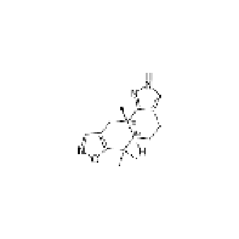 CC1(C)c2oncc2C[C@]2(C)c3n[nH]cc3CC[C@@H]12